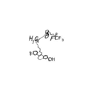 CN(CCCCCCC1=C(c2cccc(F)c2)CCCc2cc(O)ccc21)CCCCS(=O)(=O)CCCC(F)(F)C(F)(F)F